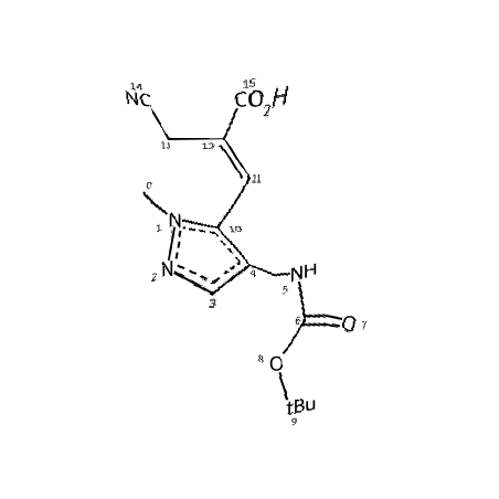 Cn1ncc(NC(=O)OC(C)(C)C)c1C=C(CC#N)C(=O)O